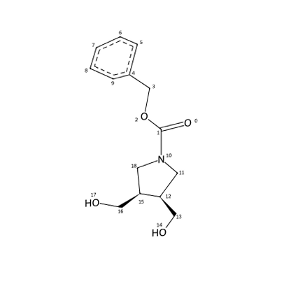 O=C(OCc1ccccc1)N1C[C@@H](CO)[C@@H](CO)C1